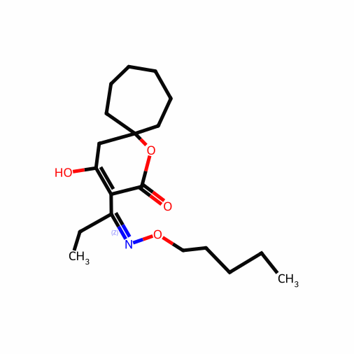 CCCCCO/N=C(/CC)C1=C(O)CC2(CCCCCC2)OC1=O